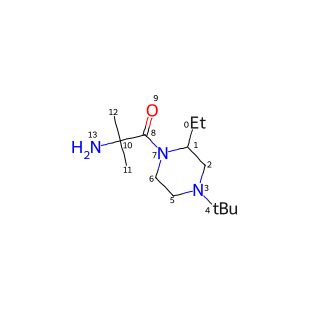 CCC1CN(C(C)(C)C)CCN1C(=O)C(C)(C)N